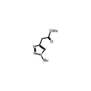 CCC(C)n1cc(CC(=O)OC)nn1